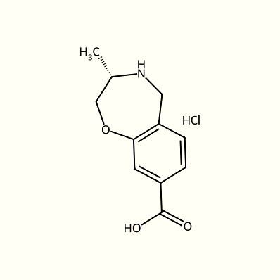 C[C@H]1COc2cc(C(=O)O)ccc2CN1.Cl